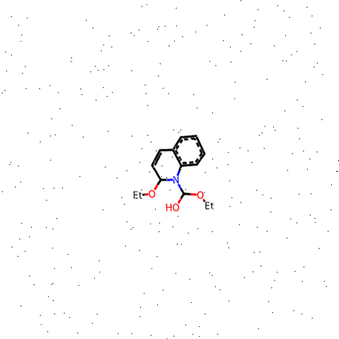 CCOC(O)N1c2ccccc2C=CC1OCC